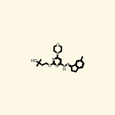 Cc1ccc2c(c1)C(=NNc1cc(N3CCOCC3)nc(OCCC(C)(C)O)n1)CC2